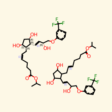 CC(C)OC(=O)CCC/C=C/CC1C(O)CC(O)C1/C=C/C(O)COc1cccc(C(F)(F)F)c1.CC(C)OC(=O)CCC/C=C\C[C@@H]1[C@@H](/C=C/[C@@H](O)COc2cccc(C(F)(F)F)c2)[C@H](O)C[C@@H]1O